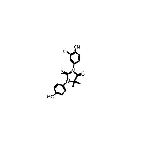 CC1(C)C(=O)N(c2ccc(C#N)c(Cl)c2)C(=S)N1c1ccc(O)cc1